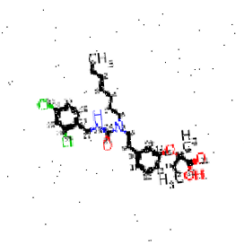 CCCCCCCN(CCc1cccc(OC(C)(CC)C(=O)O)c1)C(=O)NCc1ccc(Cl)cc1Cl